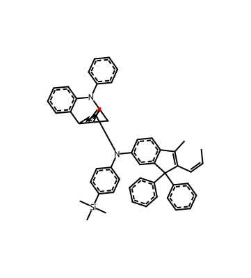 C/C=C\C1=C(C)c2ccc(N(c3ccc([Si](C)(C)C)cc3)C3/C=C\C4=C5CC5(/C=C/3)N(c3ccccc3)c3ccccc34)cc2C1(c1ccccc1)c1ccccc1